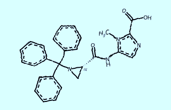 Cn1c(NC(=O)[C@@H]2CN2C(c2ccccc2)(c2ccccc2)c2ccccc2)cnc1C(=O)O